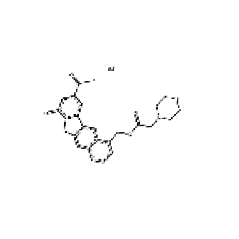 CCC(=O)c1cc2n(c(=O)c1)Cc1cc3cccc(COC(=O)CN4CCOCC4)c3nc1-2.Cl